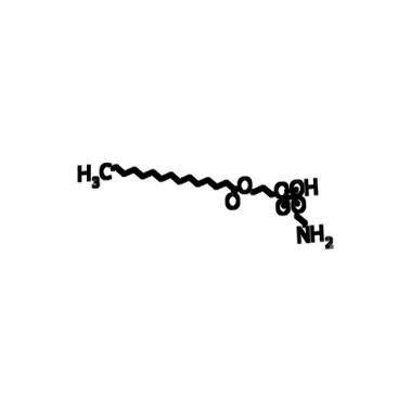 CCCCCCCCCCCCCCC(=O)OCCCOP(=O)(O)OCCN